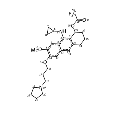 COc1cc2c(NC3CC3)c3c(nc2cc1OCCCN1CCCC1)CCCC3OC(=O)C(F)(F)F